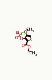 CCOC(=O)c1scc(OC)c1OS(=O)(=O)Cl